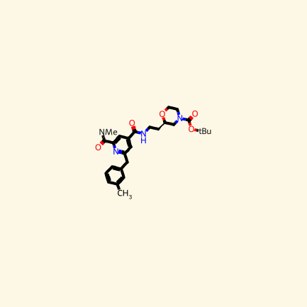 CNC(=O)c1cc(C(=O)NCC[C@@H]2CN(C(=O)OC(C)(C)C)CCO2)cc(Cc2cccc(C)c2)n1